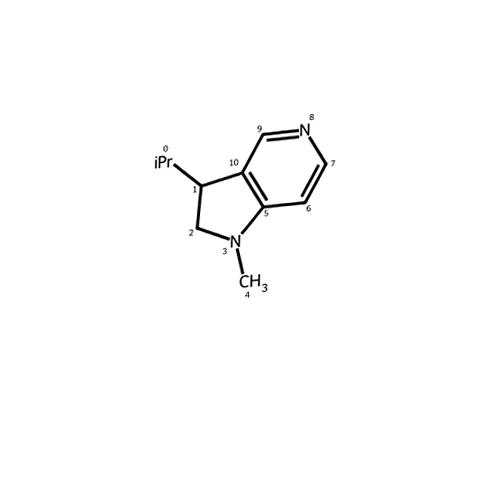 CC(C)C1CN(C)c2ccncc21